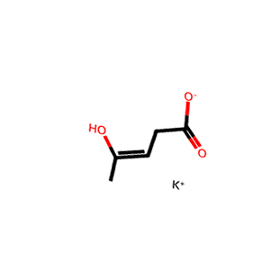 CC(O)=CCC(=O)[O-].[K+]